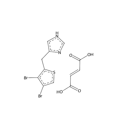 Brc1csc(Cc2c[nH]cn2)c1Br.O=C(O)/C=C/C(=O)O